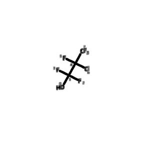 OC(F)(F)C(F)(Cl)C(F)(F)F